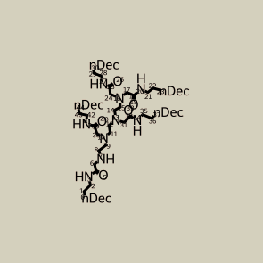 CCCCCCCCCCCCNC(=O)CNCCN(CCN(CCN(CC(=O)NCCCCCCCCCCCC)CC(=O)NCCCCCCCCCCCC)CC(=O)NCCCCCCCCCCCC)CC(=O)NCCCCCCCCCCCC